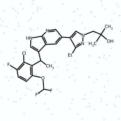 CCc1nn(CC(C)(C)O)cc1-c1cnc2[nH]cc(C(C)c3c(OC(F)F)ccc(F)c3Cl)c2c1